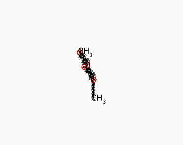 CCCCCCCCC=COc1ccc(-c2ccc(C(=O)Oc3ccc(-c4ccc(OC)cc4)cc3)cc2)cc1